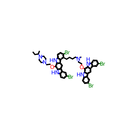 CCC(C)N1CCN(CCOc2c3[nH]c4ccc(Br)cc4c3cc3c2[nH]c2ccc(Br)c(CCCCN(C)CCOc4c5[nH]c6ccc(Br)cc6c5cc5c4[nH]c4ccc(Br)cc45)c23)CC1